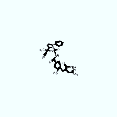 Cc1cc(Cc2ccc(C(=O)NCC(=O)N3C(C(C)(C)C#N)CC[C@H]3c3ccccc3)cc2C)c(=O)[nH]n1